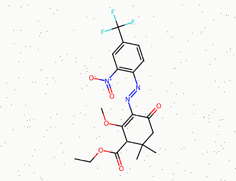 CCOC(=O)C1C(OC)=C(/N=N/c2ccc(C(F)(F)F)cc2[N+](=O)[O-])C(=O)CC1(C)C